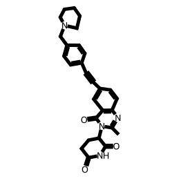 Cc1nc2ccc(C#Cc3ccc(CN4CCCCC4)cc3)cc2c(=O)n1C1CCC(=O)NC1=O